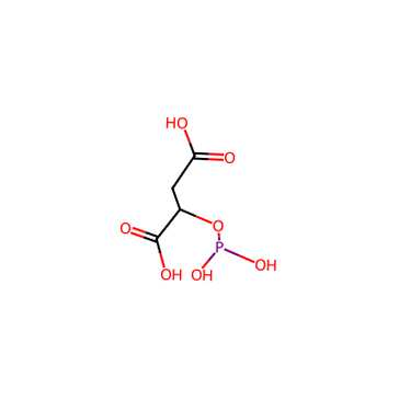 O=C(O)CC(OP(O)O)C(=O)O